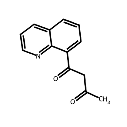 CC(=O)CC(=O)c1cccc2cccnc12